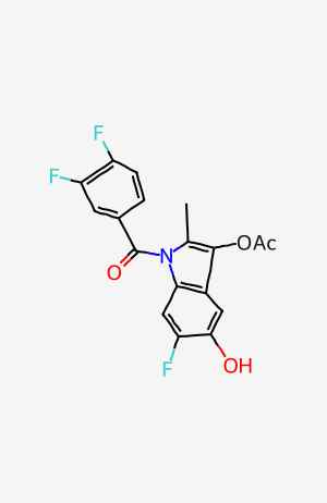 CC(=O)Oc1c(C)n(C(=O)c2ccc(F)c(F)c2)c2cc(F)c(O)cc12